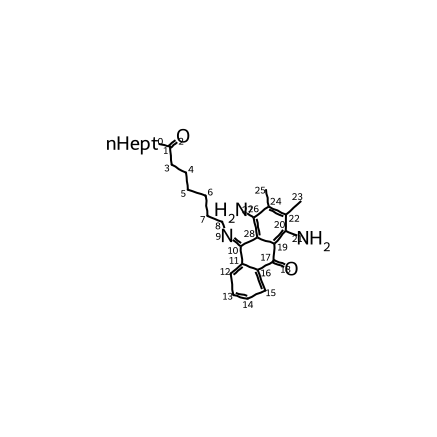 CCCCCCCC(=O)CCCCCCN=C1c2ccccc2C(=O)c2c(N)c(C)c(C)c(N)c21